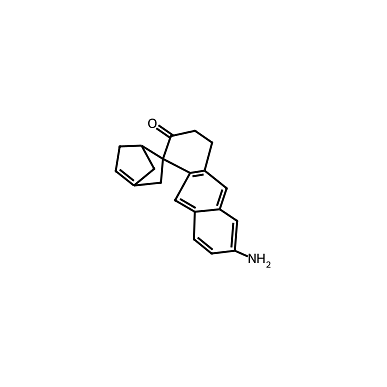 Nc1ccc2cc3c(cc2c1)CCC(=O)C31CC2=CCC1C2